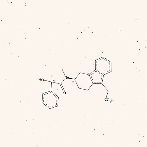 CN(C(=O)[C@](C)(O)c1ccccc1)[C@@H]1CCc2c(CC(=O)O)c3ccccc3n2C1